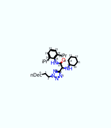 CCCCCCCCCCCCn1nnc(C(NC2CCCCC2)C(=O)Nc2c(C(C)C)cccc2C(C)C)n1